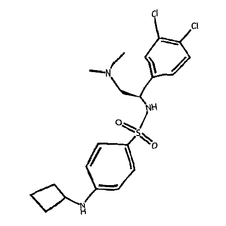 CN(C)C[C@H](NS(=O)(=O)c1ccc(NC2CCC2)cc1)c1ccc(Cl)c(Cl)c1